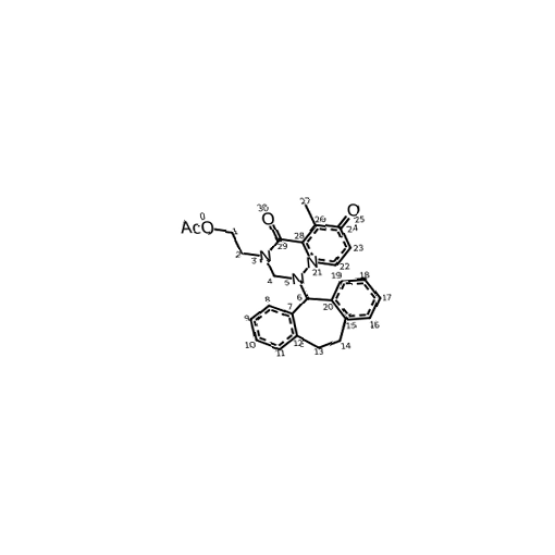 CC(=O)OCCN1CN(C2c3ccccc3CCc3ccccc32)n2ccc(=O)c(C)c2C1=O